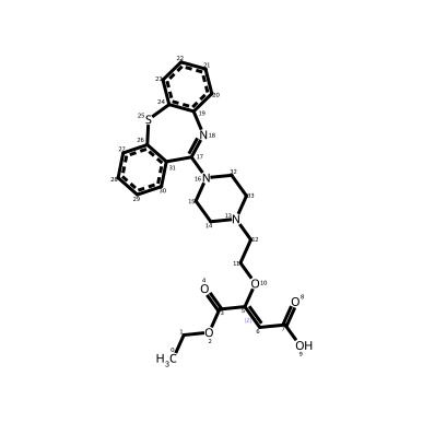 CCOC(=O)/C(=C/C(=O)O)OCCN1CCN(C2=Nc3ccccc3Sc3ccccc32)CC1